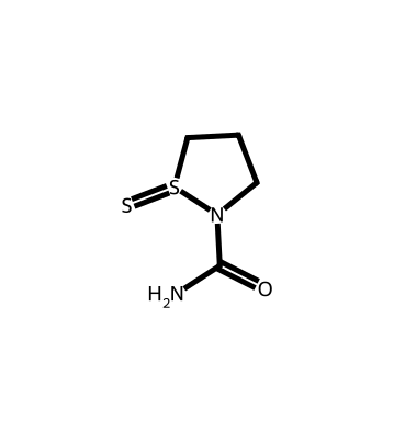 NC(=O)N1CCCS1=S